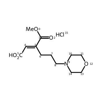 COC(=O)/C(=C/C(=O)O)CCCN1CCOCC1.Cl